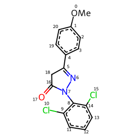 COc1ccc(C2=NN(c3c(Cl)cccc3Cl)C(=O)C2)cc1